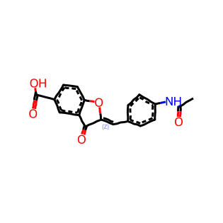 CC(=O)Nc1ccc(/C=C2\Oc3ccc(C(=O)O)cc3C2=O)cc1